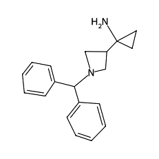 NC1(C2CN(C(c3ccccc3)c3ccccc3)C2)CC1